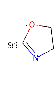 C1=NCCO1.[Sn]